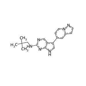 CC(C)(C)CNc1ncc2c(-c3ccn4nccc4c3)c[nH]c2n1